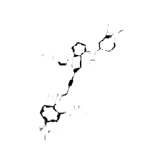 COc1cc(S(C)(=O)=O)ccc1NCC#Cc1cc2c(NC3CCN(C(C)=O)[C@H](C)C3)cccc2n1CC(F)(F)F